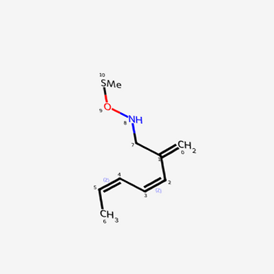 C=C(/C=C\C=C/C)CNOSC